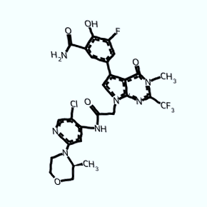 C[C@H]1COCCN1c1cc(NC(=O)Cn2cc(-c3cc(F)c(O)c(C(N)=O)c3)c3c(=O)n(C)c(C(F)(F)F)nc32)c(Cl)cn1